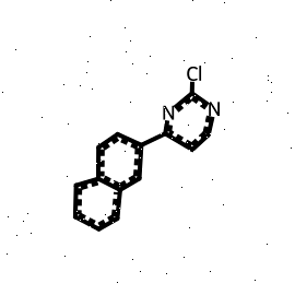 Clc1nccc(-c2ccc3ccccc3c2)n1